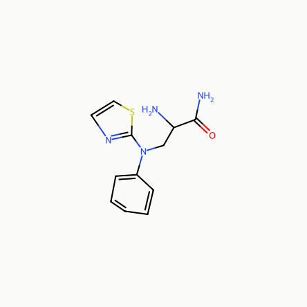 NC(=O)C(N)CN(c1ccccc1)c1nccs1